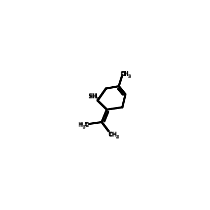 CC1=CCC(=C(C)C)CC1.[SiH4]